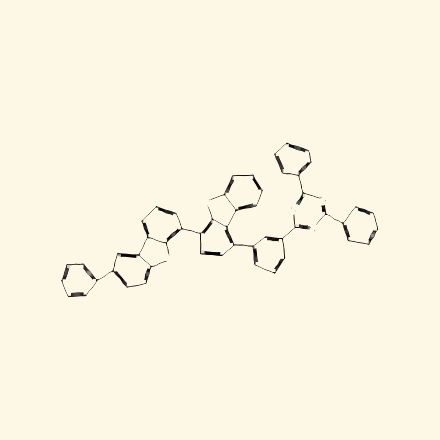 c1ccc(-c2ccc3sc4c(-c5ccc(-c6cccc(-c7nc(-c8ccccc8)nc(-c8ccccc8)n7)c6)c6c5oc5ccccc56)cccc4c3c2)cc1